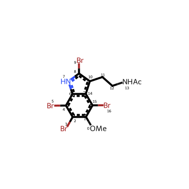 COc1c(Br)c(Br)c2[nH]c(Br)c(CCNC(C)=O)c2c1Br